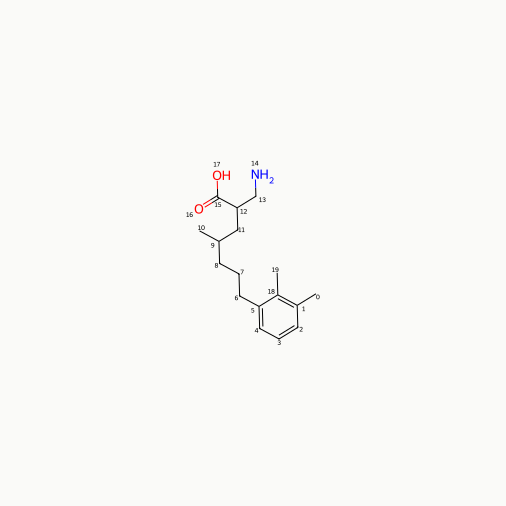 Cc1cccc(CCCC(C)CC(CN)C(=O)O)c1C